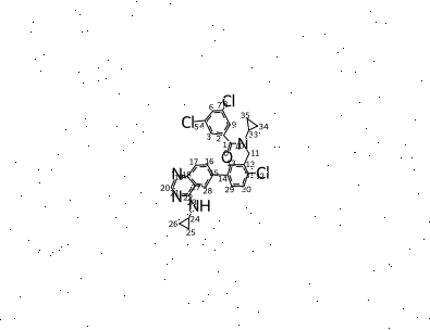 O=C(c1cc(Cl)cc(Cl)c1)N(Cc1cc(-c2ccc3ncnc(NC4CC4)c3c2)ccc1Cl)C1CC1